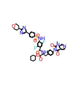 Cn1c(=O)n(-c2ccc(C[C@H](NC(=O)c3cc(F)c(NS(=O)(=O)c4ccc(-c5cnc(C6CCOCC6)nc5)cc4)cc3F)C(=O)OC3CCCCC3)cc2)c(=O)c2ccncc21